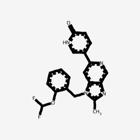 Cc1nc2cnc(-c3ccc(=O)[nH]c3)cc2n1Cc1ccccc1OC(F)F